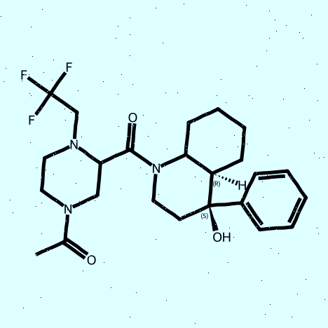 CC(=O)N1CCN(CC(F)(F)F)C(C(=O)N2CC[C@@](O)(c3ccccc3)[C@@H]3CCCCC32)C1